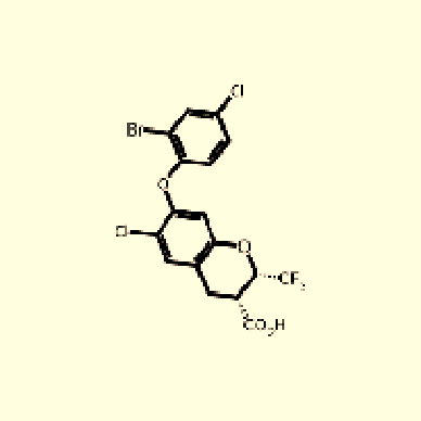 O=C(O)[C@@H]1Cc2cc(Cl)c(Oc3ccc(Cl)cc3Br)cc2O[C@@H]1C(F)(F)F